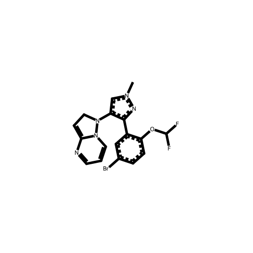 Cn1cc(N2CC=C3N=CC=CN32)c(-c2cc(Br)ccc2OC(F)F)n1